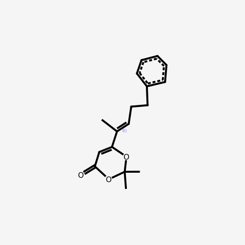 C/C(=C\CCc1ccccc1)C1=CC(=O)OC(C)(C)O1